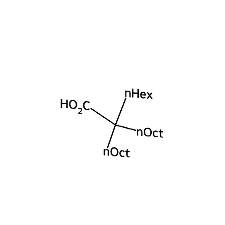 CCCCCCCCC(CCCCCC)(CCCCCCCC)C(=O)O